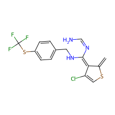 C=c1scc(Cl)/c1=C(/N=C\N)NCc1ccc(SC(F)(F)F)cc1